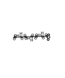 CC(=O)N(O)CCCCCNC(=O)CCC(=O)N(O)CCCCCNC(=O)CCC(=O)N(O)CCCCCNC(=O)CCC(=O)N1Cc2ccccc2C#Cc2ccccc21